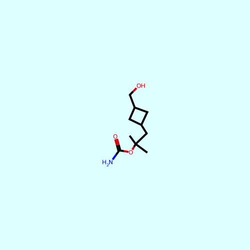 CC(C)(CC1CC(CO)C1)OC(N)=O